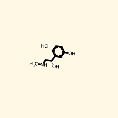 CNC[C@@H](O)c1cccc(O)c1.Cl